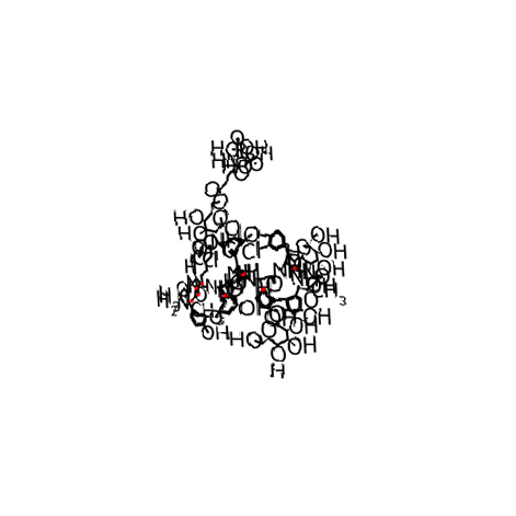 CC(=O)N[C@H]1[C@H](O[C@@H]2c3ccc(c(Cl)c3)Oc3cc4cc(c3O[C@@H]3O[C@H](COC(=O)CCC(=O)NC(P(=O)(O)O)P(=O)(O)O)[C@@H](O)[C@H](O)[C@H]3NC(=O)CCCCCCCC(C)C)Oc3ccc(cc3Cl)C[C@H]3NC(=O)[C@H](N)c5ccc(O)c(c5)Oc5cc(O)cc(c5)[C@H](NC3=O)C(=O)N[C@H]4C(=O)N[C@H]3C(=O)N[C@@H]2C(=O)N[C@@H](C(=O)O)c2cc(O)cc(O[C@H]4O[C@H](CO)[C@@H](O)[C@H](O)[C@@H]4O)c2-c2cc3ccc2O)O[C@H](CO)[C@@H](O)[C@@H]1O